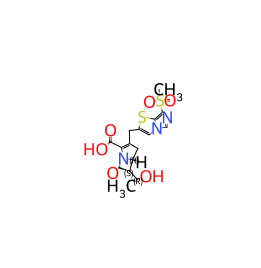 C[C@@H](O)[C@H]1C(=O)N2C(C(=O)O)=C(Cc3cn4cnc(S(C)(=O)=O)c4s3)C[C@H]12